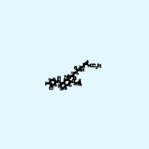 CCOC(=O)CN(C)CCCNC(=O)C=CC(=O)Nc1cc2c(Nc3ccc(F)c(Cl)c3)ncnc2cc1OCC1CC1